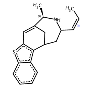 C/C=C\C1CC2CC(=Cc3sc4ccccc4c32)[C@@H](C)N1